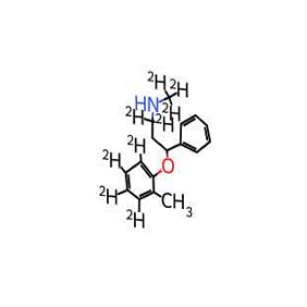 [2H]c1c([2H])c([2H])c(OC(CC([2H])([2H])NC([2H])([2H])[2H])c2ccccc2)c(C)c1[2H]